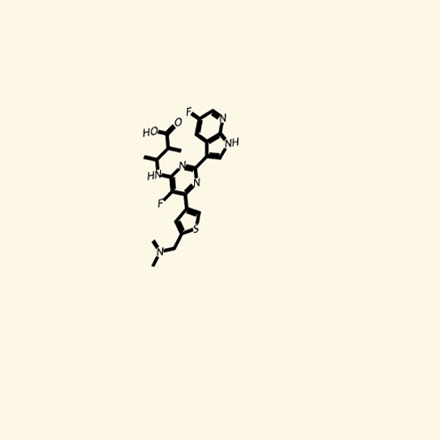 CC(Nc1nc(-c2c[nH]c3ncc(F)cc23)nc(-c2csc(CN(C)C)c2)c1F)C(C)C(=O)O